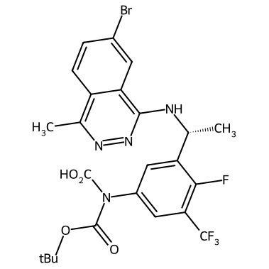 Cc1nnc(N[C@H](C)c2cc(N(C(=O)O)C(=O)OC(C)(C)C)cc(C(F)(F)F)c2F)c2cc(Br)ccc12